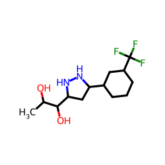 CC(O)C(O)C1CC(C2CCCC(C(F)(F)F)C2)NN1